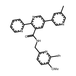 COc1ccc(CNC(=O)c2cc(-c3cncc(C)c3)cnc2-c2ccccn2)nc1C(C)C